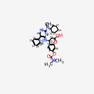 CN(C)C(=O)Oc1ccc(C(CC(=O)O)Nc2nc(N(C)C3CCCCC3)ncc2-c2ccccc2F)cc1